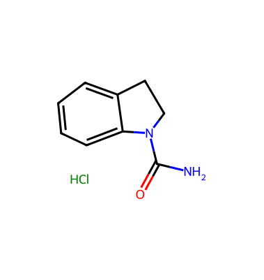 Cl.NC(=O)N1CCc2ccccc21